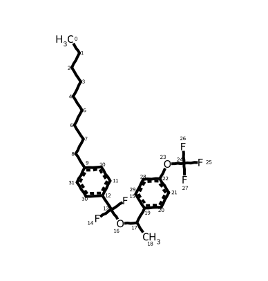 CCCCCCCCCc1ccc(C(F)(F)OC(C)c2ccc(OC(F)(F)F)cc2)cc1